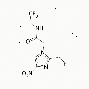 O=C(Cn1cc([N+](=O)[O-])nc1CF)NCC(F)(F)F